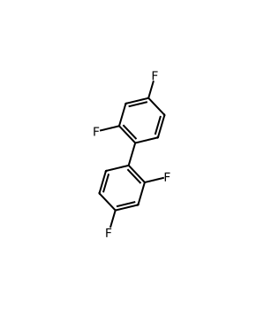 Fc1ccc(-c2ccc(F)cc2F)c(F)c1